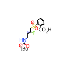 CC(C)(C)OC(=O)NC/C=C(\F)CS(=O)(=O)c1ccccc1C(=O)O